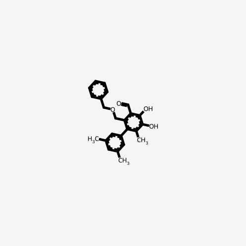 Cc1cc(C)cc(-c2c(C)c(O)c(O)c(C=O)c2COCc2ccccc2)c1